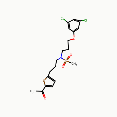 CC(=O)c1ccc(CCCN(CCCOc2cc(Cl)cc(Cl)c2)S(C)(=O)=O)s1